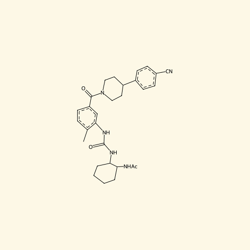 CC(=O)NC1CCCCC1NC(=O)Nc1cc(C(=O)N2CCC(c3ccc(C#N)cc3)CC2)ccc1C